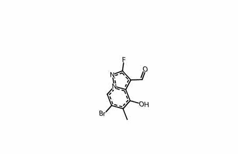 Cc1c(Br)cn2nc(F)c(C=O)c2c1O